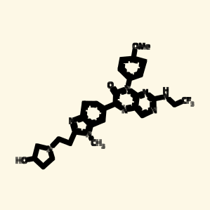 COc1ccc(-n2c(=O)c(-c3ccc4nc(CCN5CCC(O)C5)n(C)c4c3)nc3cnc(NCC(F)(F)F)nc32)cc1